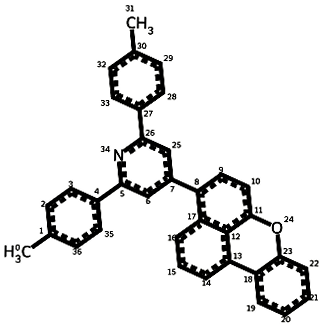 Cc1ccc(-c2cc(-c3ccc4c5c(cccc35)-c3ccccc3O4)cc(-c3ccc(C)cc3)n2)cc1